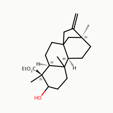 C=C1CC23CC[C@H]4C(C)(CCC(O)[C@@]4(C)C(=O)OCC)[C@@H]2CC[C@@]1(C)C3